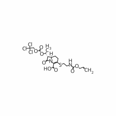 C=CCOC(=O)NCCSC1=C(C(=O)O)N2C(=O)[C@H](C(C)OC(=O)OCC(Cl)(Cl)Cl)[C@H]2CC1